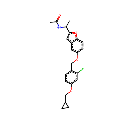 CC(=O)NC(C)c1cc2cc(OCc3ccc(OCC4CC4)cc3Cl)ccc2o1